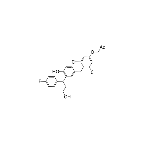 CC(=O)COc1cc(Cl)c(Cc2ccc(O)c(C(CCO)c3ccc(F)cc3)c2)c(Cl)c1